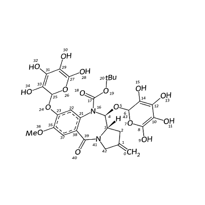 C=C1C[C@H]2[C@H](OC3OC(O)=C(O)C(O)=C3O)N(C(=O)OC(C)(C)C)c3cc(OC4OC(O)=C(O)C(O)=C4O)c(OC)cc3C(=O)N2C1